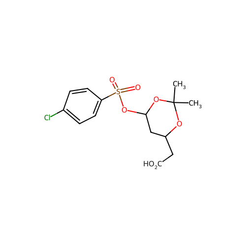 CC1(C)OC(CC(=O)O)CC(OS(=O)(=O)c2ccc(Cl)cc2)O1